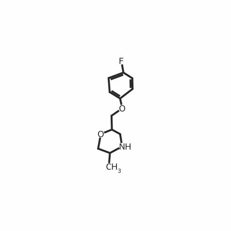 CC1COC(COc2ccc(F)cc2)CN1